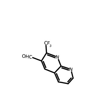 O=Cc1cc2cccnc2nc1C(F)(F)F